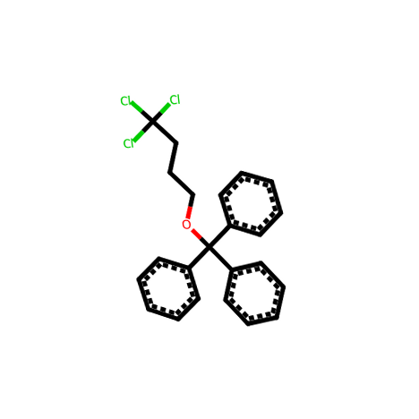 ClC(Cl)(Cl)CCCOC(c1ccccc1)(c1ccccc1)c1ccccc1